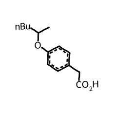 CCCCC(C)Oc1ccc(CC(=O)O)cc1